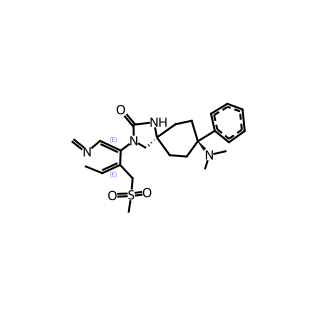 C=N/C=C(\C(=C/C)CS(C)(=O)=O)N1C[C@]2(CC[C@](c3ccccc3)(N(C)C)CC2)NC1=O